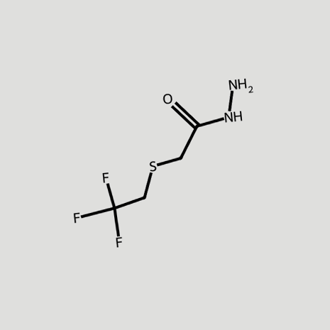 NNC(=O)CSCC(F)(F)F